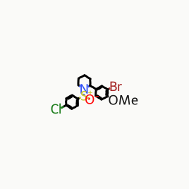 COc1ccc(C2CCCCN2[S+]([O-])c2ccc(Cl)cc2)cc1Br